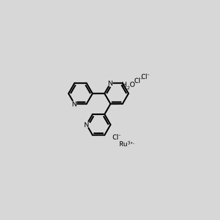 O.[Cl-].[Cl-].[Cl-].[Ru+3].c1cncc(-c2cccnc2-c2cccnc2)c1